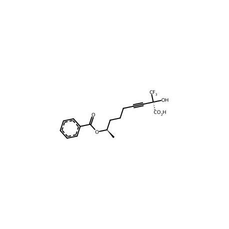 C[C@H](CCCC#C[C@@](O)(C(=O)O)C(F)(F)F)OC(=O)c1ccccc1